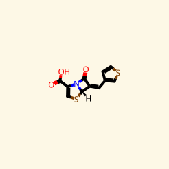 O=C(O)C1=CS[C@H]2/C(=C/c3ccsc3)C(=O)N12